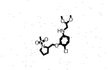 COC(CNc1ccc(Cl)c(OCC2CCCN2S(C)(=O)=O)c1)OC